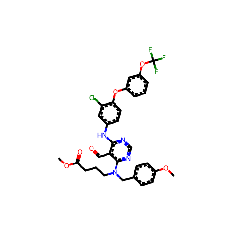 COC(=O)CCCN(Cc1ccc(OC)cc1)c1ncnc(Nc2ccc(Oc3cccc(OC(F)(F)F)c3)c(Cl)c2)c1C=O